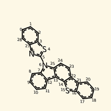 c1ccc2sc(-n3c4ccccc4c4c5sc6ccccc6c5ccc43)nc2c1